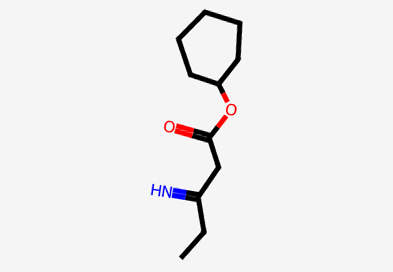 CCC(=N)CC(=O)OC1CCCCC1